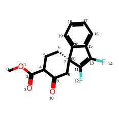 COC(=O)C1CC[C@@]2(CC1=O)C(F)=C(F)c1ccccc12